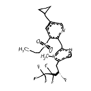 CCS(=O)(=O)c1cc(C2CC2)cnc1-c1ncc([C@H](F)C(F)(F)C(F)(F)F)n1C